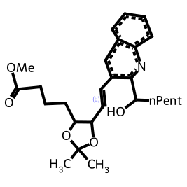 CCCCCC(O)c1nc2ccccc2cc1/C=C/C1OC(C)(C)OC1CCCC(=O)OC